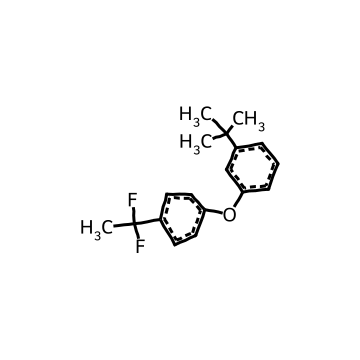 CC(C)(C)c1cccc(Oc2ccc(C(C)(F)F)cc2)c1